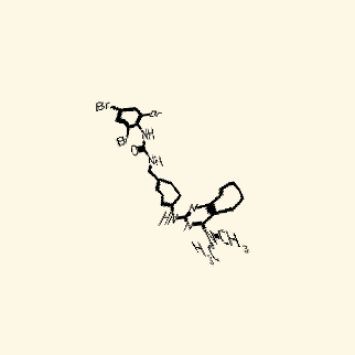 CN(C)c1nc(NC2CCC(CNC(=O)Nc3c(Br)cc(Br)cc3Br)CC2)nc2c1CCCC2